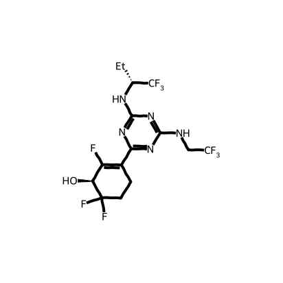 CC[C@@H](Nc1nc(NCC(F)(F)F)nc(C2=C(F)[C@H](O)C(F)(F)CC2)n1)C(F)(F)F